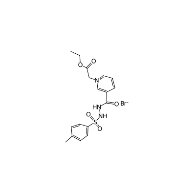 CCOC(=O)C[n+]1cccc(C(=O)NNS(=O)(=O)c2ccc(C)cc2)c1.[Br-]